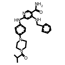 CC(C)C(=O)N1CCN(c2ccc(Nc3cc(NCc4ccccc4)c(C(N)=O)cn3)cc2)CC1